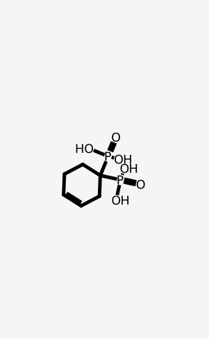 O=P(O)(O)C1(P(=O)(O)O)CC=CCC1